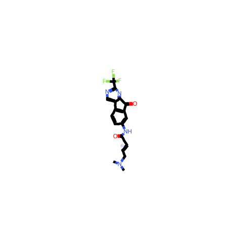 CN(C)C/C=C/C(=O)Nc1ccc2c(c1)C(=O)c1nc(C(F)(F)F)ncc1-2